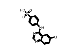 O=S(=O)(O)c1ccc(Nc2ncnc3ccc(Cl)cc23)cc1